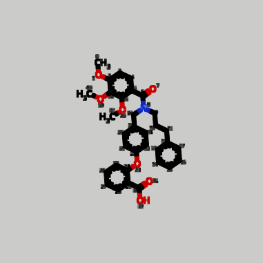 COc1ccc(C(=O)N(CCCc2ccccc2)Cc2ccc(Oc3ccccc3C(=O)O)cc2)c(OC)c1OC